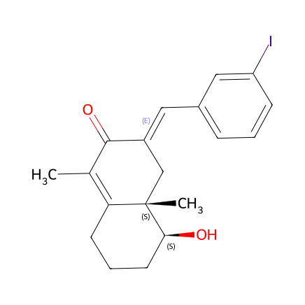 CC1=C2CCC[C@H](O)[C@@]2(C)C/C(=C\c2cccc(I)c2)C1=O